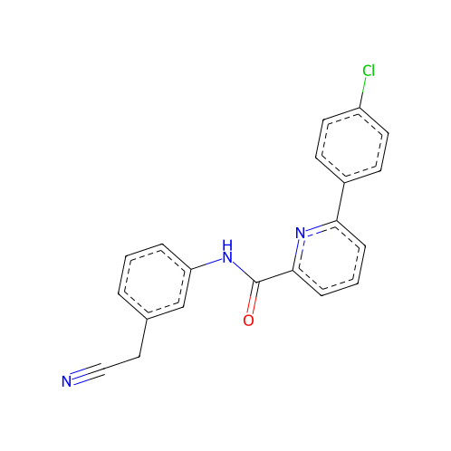 N#CCc1cccc(NC(=O)c2cccc(-c3ccc(Cl)cc3)n2)c1